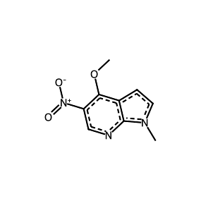 COc1c([N+](=O)[O-])cnc2c1ccn2C